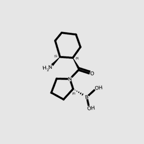 N[C@H]1CCCC[C@H]1C(=O)N1CCC[C@H]1B(O)O